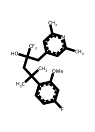 COc1cc(F)ccc1C(C)(C)CC(O)(Cc1cc(C)nc(C)c1)C(F)(F)F